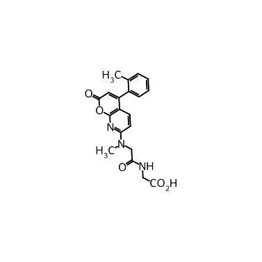 Cc1ccccc1-c1cc(=O)oc2nc(N(C)CC(=O)NCC(=O)O)ccc12